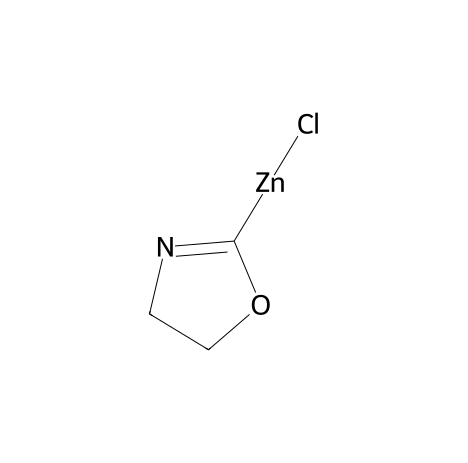 [Cl][Zn][C]1=NCCO1